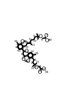 COC(=O)COC(C)(C)CCC/C(C)=C/Cc1c(C2CC(=O)c3c(cc(C)c(CCC(C)(C)OCC(=O)OC)c3OC)O2)ccc(C)c1OC